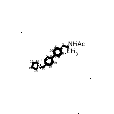 CC(=O)NC(C)Cc1ccc(-c2ccc(CN3CCCC3)cc2)cc1